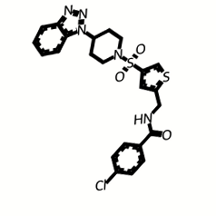 O=C(NCc1cc(S(=O)(=O)N2CCC(n3nnc4ccccc43)CC2)cs1)c1ccc(Cl)cc1